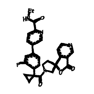 CCNC(=O)c1ccc(-c2ccc(C3(C(=O)N4CCC5(C4)OC(=O)c4cnccc45)CC3)c(F)c2)cn1